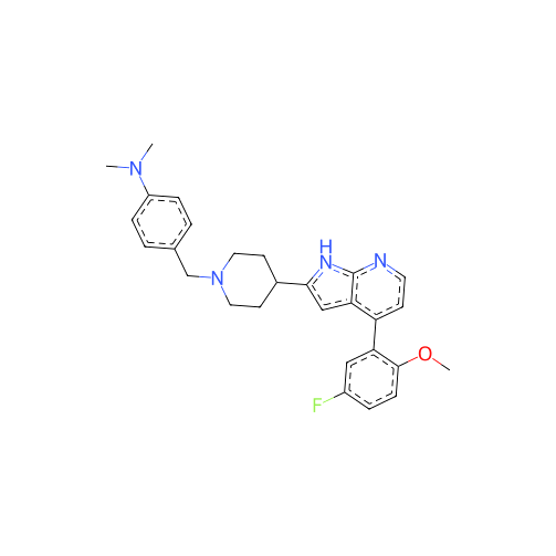 COc1ccc(F)cc1-c1ccnc2[nH]c(C3CCN(Cc4ccc(N(C)C)cc4)CC3)cc12